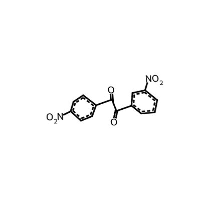 O=C(C(=O)c1cccc([N+](=O)[O-])c1)c1ccc([N+](=O)[O-])cc1